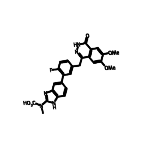 COc1cc2c(Cc3ccc(F)c(-c4ccc5[nH]c(N(C)C(=O)O)nc5c4)c3)n[nH]c(=O)c2cc1OC